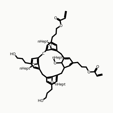 C=CC(=O)OCCCC1=CC2Cc3cc(CCCO)cc(c3OCCCCCCC)Cc3cc(CCCO)cc(c3OCCCCCCC)Cc3cc(CCCOC(=O)C=C)cc(c3OCCCCCCC)CC(=C1)C2OCCCCCCC